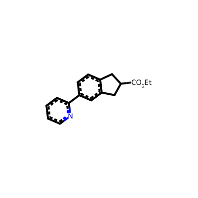 CCOC(=O)C1Cc2ccc(-c3ccccn3)cc2C1